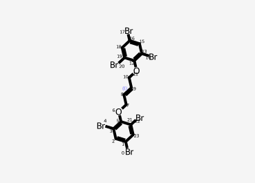 Brc1cc(Br)c(OC/C=C/COc2c(Br)cc(Br)cc2Br)c(Br)c1